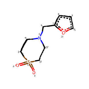 O=S1(=O)CCN(Cc2ccco2)CC1